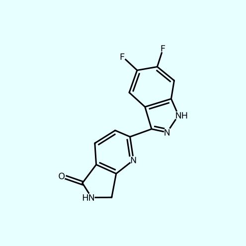 O=C1NCc2nc(-c3n[nH]c4cc(F)c(F)cc34)ccc21